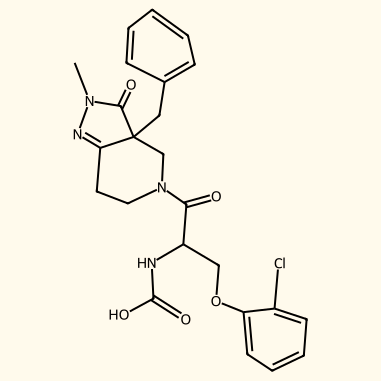 CN1N=C2CCN(C(=O)C(COc3ccccc3Cl)NC(=O)O)CC2(Cc2ccccc2)C1=O